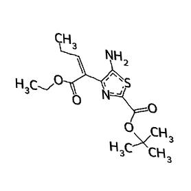 CCC=C(C(=O)OCC)c1nc(C(=O)OC(C)(C)C)sc1N